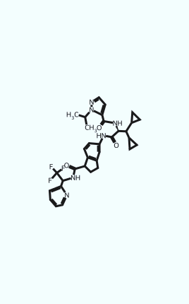 CC(C)n1nccc1C(=O)N[C@H](C(=O)Nc1ccc2c(c1)CCC2C(=O)NC(c1ccccn1)C(F)(F)F)C(C1CC1)C1CC1